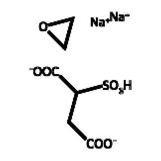 C1CO1.O=C([O-])CC(C(=O)[O-])S(=O)(=O)O.[Na+].[Na+]